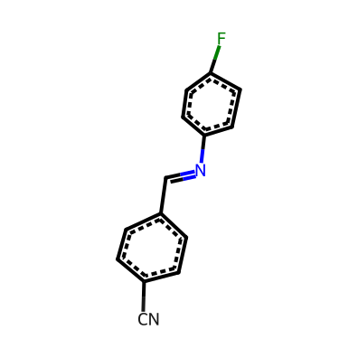 N#Cc1ccc(C=Nc2ccc(F)cc2)cc1